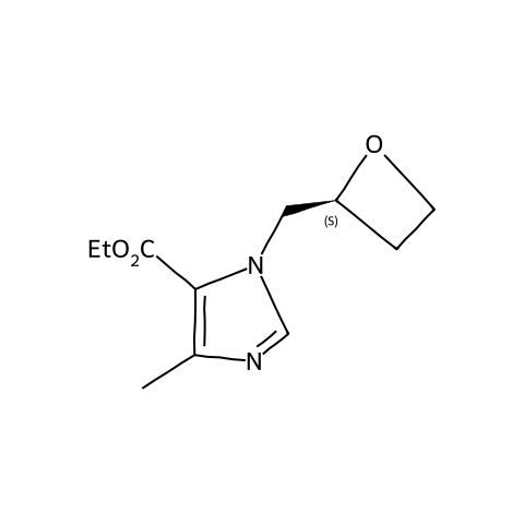 CCOC(=O)c1c(C)ncn1C[C@@H]1CCO1